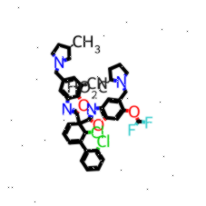 C[C@H]1CCN(Cc2cc(C#N)c3oc(C4(c5nc6cc(CN7CCC[C@H]7C(=O)O)c(OC(F)F)cc6o5)C=CC=C(c5ccccc5Cl)C4Cl)nc3c2)C1